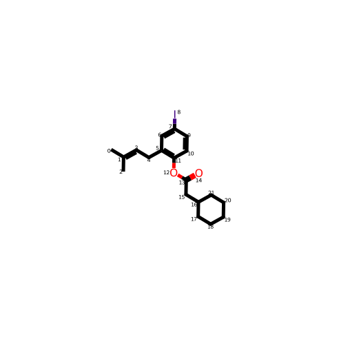 CC(C)=CCc1cc(I)ccc1OC(=O)CC1CCCCC1